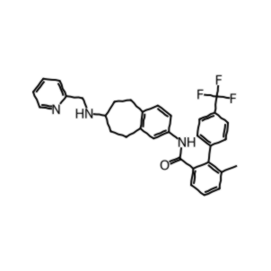 Cc1cccc(C(=O)Nc2ccc3c(c2)CCC(NCc2ccccn2)CC3)c1-c1ccc(C(F)(F)F)cc1